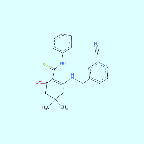 CC1(C)CC(=O)C(C(=S)Nc2ccccc2)=C(NCc2ccnc(C#N)c2)C1